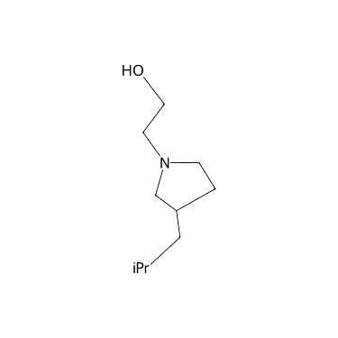 CC(C)CC1CCN(CCO)C1